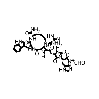 N=C(N)NCC[C@@]12NCCCC[C@@H](C(N)=O)NC(=O)[C@H](Cc3c[nH]c4ccccc34)NC(=O)C1NC2C(=O)C[C@@H]1NC(=O)N([C@@H](Cc2cnc[nH]2)C(=O)NCC=O)C1=O